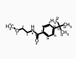 COCCNC(=O)c1ccc(C(C)(C)C)cc1